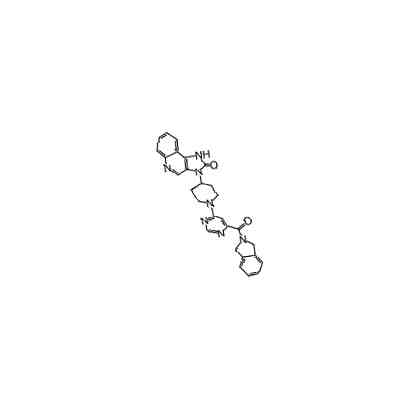 O=C(c1cc(N2CCC(n3c(=O)[nH]c4c5ccccc5ncc43)CC2)ncn1)N1Cc2ccccc2C1